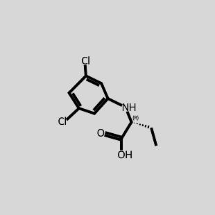 CC[C@@H](Nc1cc(Cl)cc(Cl)c1)C(=O)O